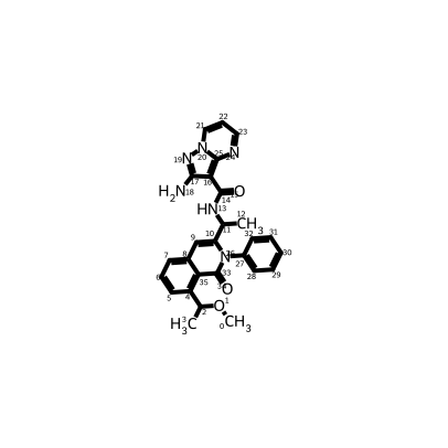 COC(C)c1cccc2cc(C(C)NC(=O)c3c(N)nn4cccnc34)n(-c3ccccc3)c(=O)c12